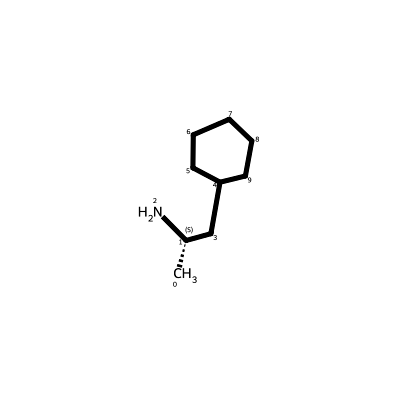 C[C@H](N)CC1CCCCC1